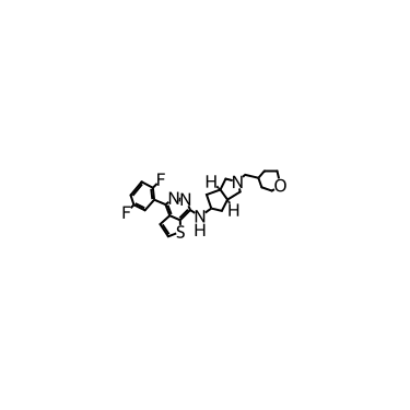 Fc1ccc(F)c(-c2nnc(NC3C[C@@H]4CN(CC5CCOCC5)C[C@@H]4C3)c3sccc23)c1